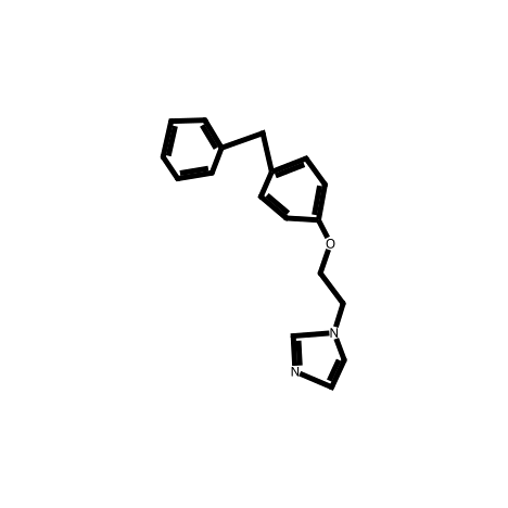 c1ccc(Cc2ccc(OCCn3ccnc3)cc2)cc1